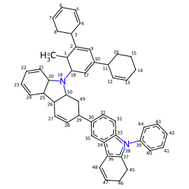 CC1C(C2C=CC=CC2)=CC(C2C=CCCC2)=CC1N1C2C=CC=CC2C2C=CC(c3ccc4c(c3)c3c(n4-c4ccccc4)CCC=C3)CC21